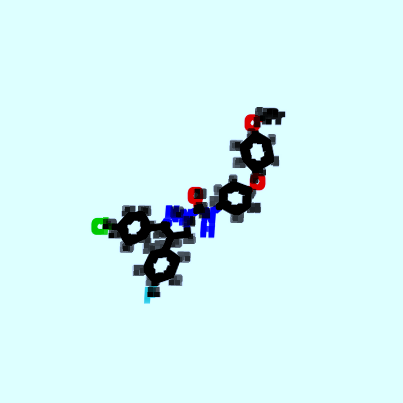 CC(C)Oc1ccc(Oc2ccc(NC(=O)N3CC(c4ccc(F)cc4)C(c4ccc(Cl)cc4)=N3)cc2)cc1